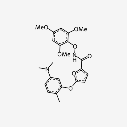 COc1cc(OC)c(ONC(=O)c2ccc(Oc3cc(N(C)C)ccc3C)o2)c(OC)c1